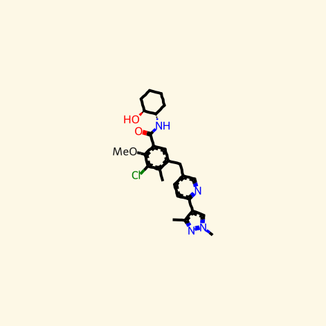 COc1c(C(=O)N[C@H]2CCCC[C@@H]2O)cc(Cc2ccc(-c3cn(C)nc3C)nc2)c(C)c1Cl